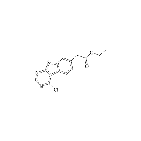 CCOC(=O)Cc1ccc2c(c1)sc1ncnc(Cl)c12